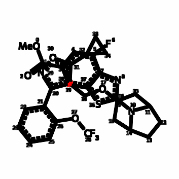 COC(=O)c1cc(F)c2nc(N3C4CCC3CC(OCc3c(-c5ccccc5OC(F)(F)F)noc3C3CC3)C4)sc2c1